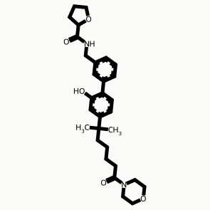 CC(C)(CCCCC(=O)N1CCOCC1)c1ccc(-c2cccc(CNC(=O)C3CCCO3)c2)c(O)c1